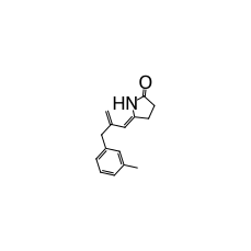 C=C(/C=C1/CCC(=O)N1)Cc1cccc(C)c1